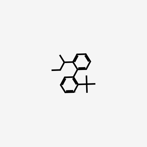 CCC(C)c1ccccc1-c1ccc[c]c1C(C)(C)C